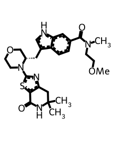 COCCN(C)C(=O)c1ccc2c(C[C@H]3COCCN3c3nc4c(s3)C(=O)NC(C)(C)C4)c[nH]c2c1